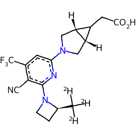 [2H]C([2H])([2H])[C@H]1CCN1c1nc(N2C[C@@H]3C(CC(=O)O)[C@@H]3C2)cc(C(F)(F)F)c1C#N